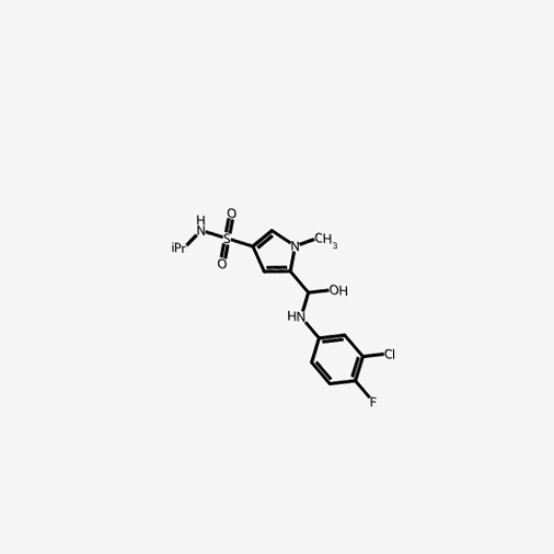 CC(C)NS(=O)(=O)c1cc(C(O)Nc2ccc(F)c(Cl)c2)n(C)c1